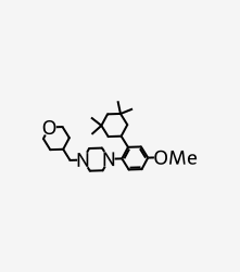 COc1ccc(N2CCN(CC3CCOCC3)CC2)c(C2CC(C)(C)CC(C)(C)C2)c1